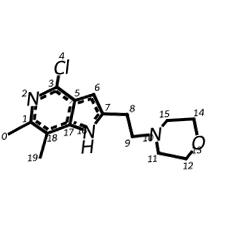 Cc1nc(Cl)c2cc(CCN3CCOCC3)[nH]c2c1C